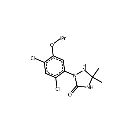 CC(C)Oc1cc(N2NC(C)(C)NC2=O)c(Cl)cc1Cl